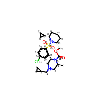 C[C@H]1CN(CC2CC2)CCN1C(=O)OC[C@H]1CCC[C@@H](C2CC2)N1S(=O)(=O)c1ccc(Cl)cc1